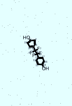 Oc1ccc(C(F)(F)C(F)(F)c2ccc(O)cc2)cc1